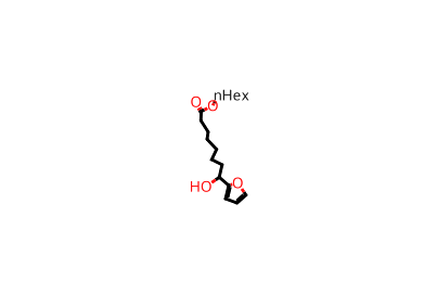 CCCCCCOC(=O)CCCCCCC(O)c1ccco1